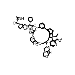 CCn1c(-c2cc(N3CCN4CCOC[C@@H]4C3)cnc2[C@H](C)OC)c2c3cc(ccc31)-c1cccc(c1)C[C@H](NC(=O)[C@H](C1CCCC1)N1CC[C@]3(CCN(C(=O)[C@H]4CN4)C3)C1)C(=O)N1CCC[C@H](N1)C(=O)OCC(C)(C)C2